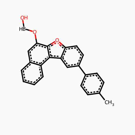 Cc1ccc(-c2ccc3oc4c(OBO)cc5ccccc5c4c3c2)cc1